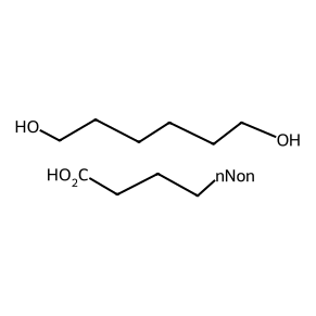 CCCCCCCCCCCCC(=O)O.OCCCCCCO